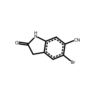 N#Cc1cc2c(cc1Br)CC(=O)N2